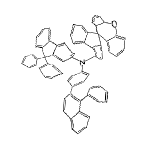 C1=CC2Oc3ccccc3C3(c4ccccc4-c4c(N(c5ccc(-c6ccc7ccccc7c6-c6ccccc6)cc5)c5ccc6c(c5)C(c5ccccc5)(c5ccccc5)c5ccccc5-6)cccc43)C2C=C1